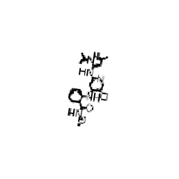 C=C(C)n1nc(C)cc1Nc1cc(Nc2ccccc2C(=O)NOC)c(Cl)cn1